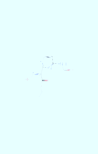 CCOC(=O)/C(=N\O)c1nccc(NC=O)n1